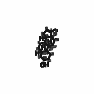 CC1=CC[C@H]2[C@@H]3CC[C@H]4C[C@@H](O)CC[C@]4(C)[C@H]3CC[C@]12C